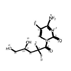 Nc1nc(=O)n(C(=O)C(F)(F)C[C@H](O)CO)cc1F